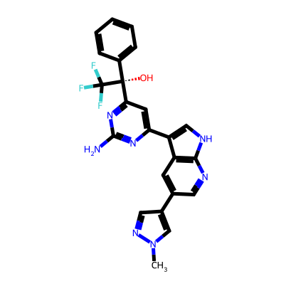 Cn1cc(-c2cnc3[nH]cc(-c4cc([C@](O)(c5ccccc5)C(F)(F)F)nc(N)n4)c3c2)cn1